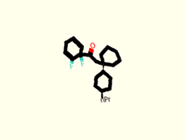 CCC[C@H]1CC[C@H](C2(CC(=O)C3(F)C=CCC=C3F)CCCCC2)CC1